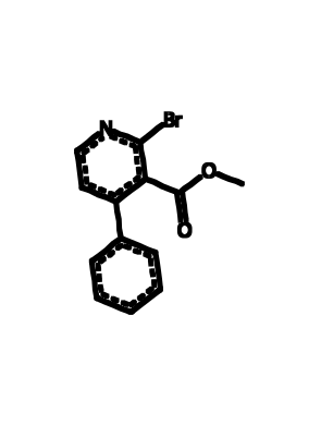 COC(=O)c1c(-c2ccccc2)ccnc1Br